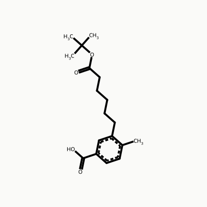 Cc1ccc(C(=O)O)cc1CCCCCC(=O)OC(C)(C)C